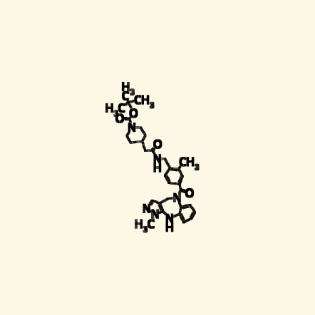 Cc1cc(C(=O)N2Cc3cnn(C)c3Nc3ccccc32)ccc1CNC(=O)CC1CCN(C(=O)OC(C)(C)C)CC1